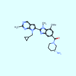 COc1cc(C(=O)N2CCC[C@@H](N)C2)cc2nc(-c3cc4cnc(C)nc4n3CC3CC3)n(C)c12